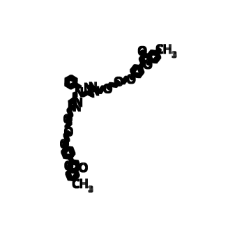 Cc1ccc2oc(-c3ccc(OCCOCCOCCn4cc(CN(Cc5ccccc5)Cc5cn(CCOCCOCCOc6ccc(-c7cc(=O)c8cc(C)ccc8o7)cc6)nn5)nn4)cc3)cc(=O)c2c1